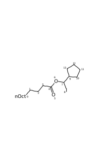 CCCCCCCCCCCC(=O)OC(I)C1CCCC1